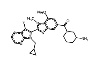 COc1cc(C(=O)N2CCCC(N)C2)cc2nc(-c3c(F)c4cccnc4n3CC3CC3)n(C)c12